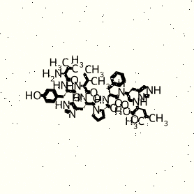 CC[C@H](C)[C@H](NC(=O)[C@H](Cc1ccc(O)cc1)NC(=O)[C@@H](N)C(C)C)C(=O)N[C@@H](Cc1c[nH]cn1)C(=O)N1CCC[C@H]1C(=O)N[C@@H](Cc1ccccc1)C(=O)N[C@@H](Cc1c[nH]cn1)C(=O)N[C@@H](CC(C)C)C(=O)O